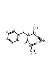 N#CC(O)C(Cc1ccccc1)OC(N)=O